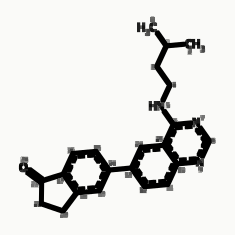 CC(C)CCNc1ncnc2ccc(-c3ccc4c(c3)CCC4=O)cc12